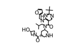 CC(C)CN(C(=O)c1cnc(C(C)(C)C)nc1NCc1ccco1)C1CNC[C@H](C(=O)N2CC(O)C2)C1